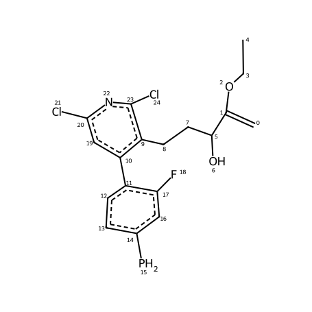 C=C(OCC)C(O)CCc1c(-c2ccc(P)cc2F)cc(Cl)nc1Cl